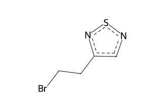 BrCCc1cnsn1